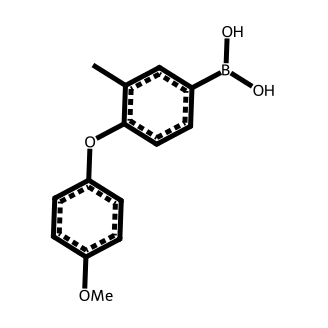 COc1ccc(Oc2ccc(B(O)O)cc2C)cc1